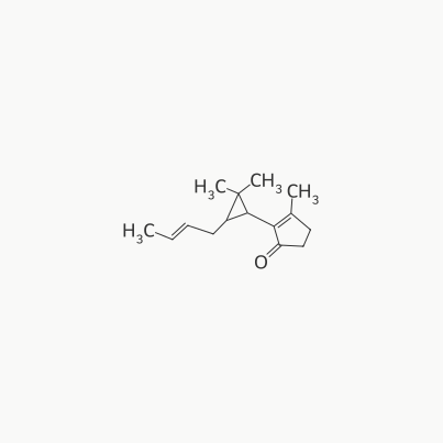 CC=CCC1C(C2=C(C)CCC2=O)C1(C)C